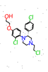 OCCOc1ccc(N2CCN(CCCl)C[C@H]2c2ccc(Cl)cc2)c(Cl)c1